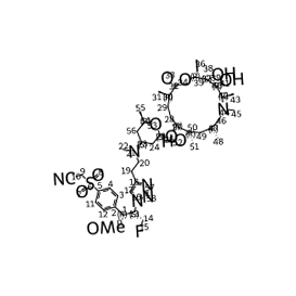 CO[C@H](c1ccc(S(=O)(=O)CC#N)cc1)[C@@H](CF)n1cc(CCN(C)[C@@H]2C[C@H](O[C@@H]3CC[C@@H](C)C(=O)O[C@H](I)[C@@](C)(O)[C@H](O)[C@@H](C)N(C)C[C@H](C)C[C@@]3(C)O)O[C@H](C)C2)nn1